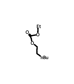 CCCCCCOC(=O)OCC